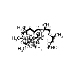 CC(CO[C]=O)OCC(C)OCCC[Si](C)(C)O[Si](C)(C)O[Si](C)(C)O[Si](C)(C)O[Si](C)(C)C